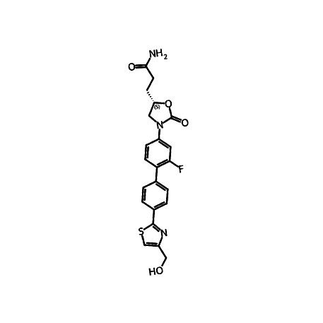 NC(=O)CC[C@H]1CN(c2ccc(-c3ccc(-c4nc(CO)cs4)cc3)c(F)c2)C(=O)O1